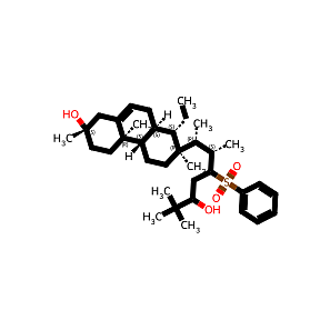 CC[C@H]1[C@@H]2CC=C3C[C@@](C)(O)CC[C@]3(C)[C@H]2CC[C@]1(C)[C@H](C)[C@H](C)C(CC(O)C(C)(C)C)S(=O)(=O)c1ccccc1